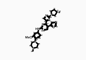 COc1cc(Nc2ncc(-c3cnco3)c(-c3cnc(N4CC[C@H](F)C4)s3)n2)ccc1N1CCN(C)CC1